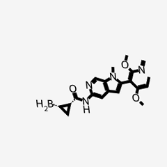 B[C@H]1C[C@H]1C(=O)Nc1cc2cc(C(/C(=C\C)OC)=C(/N=C)OC)n(C)c2cn1